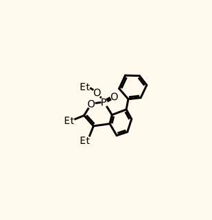 CCOP1(=O)OC(CC)=C(CC)c2cccc(-c3ccccc3)c21